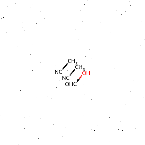 CC#N.CC#N.O=CO